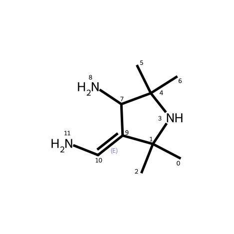 CC1(C)NC(C)(C)C(N)/C1=C\N